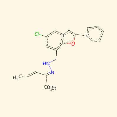 C/C=C/C(=N\NCc1cc(Cl)cc2cc(-c3ccccc3)oc12)C(=O)OCC